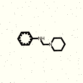 c1ccc(NCN2CCCCC2)cc1